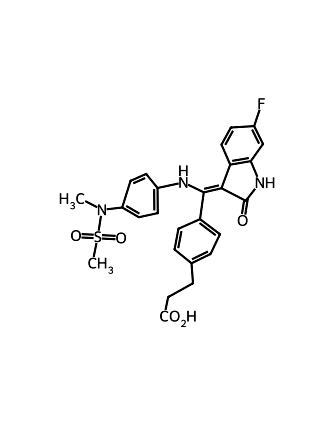 CN(c1ccc(NC(=C2C(=O)Nc3cc(F)ccc32)c2ccc(CCC(=O)O)cc2)cc1)S(C)(=O)=O